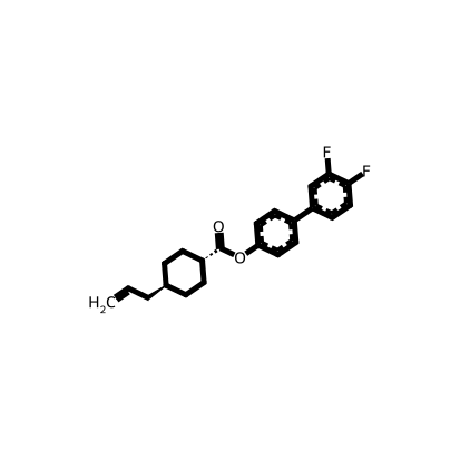 C=CC[C@H]1CC[C@H](C(=O)Oc2ccc(-c3ccc(F)c(F)c3)cc2)CC1